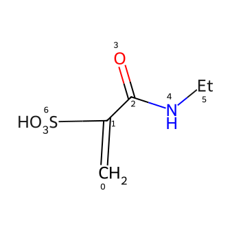 C=C(C(=O)NCC)S(=O)(=O)O